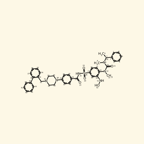 C[C@@H](c1ccccc1)N(C)C(=O)N(C)c1ccc(S(=O)(=O)NC(=O)c2ccc(N3CCN(Cc4ccccc4-c4ccccc4)CC3)cc2)cc1NO